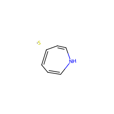 C1=CC=CNC=C1.[S]